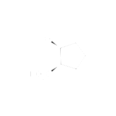 O=C(O)[C@@H]1CCC[C@@H]1O